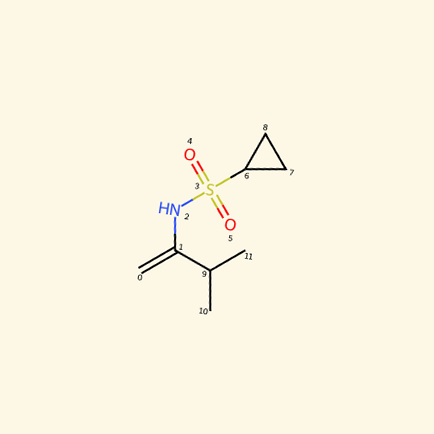 C=C(NS(=O)(=O)C1CC1)C(C)C